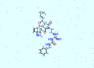 C/C=C/C1OC(C2C#CC2(C)N)C2C(=O)N(CCNC(=N)NC(=O)NCc3ccccc3)C(=O)C12